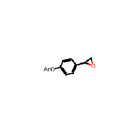 CC(=O)Oc1ccc(C2CO2)cc1